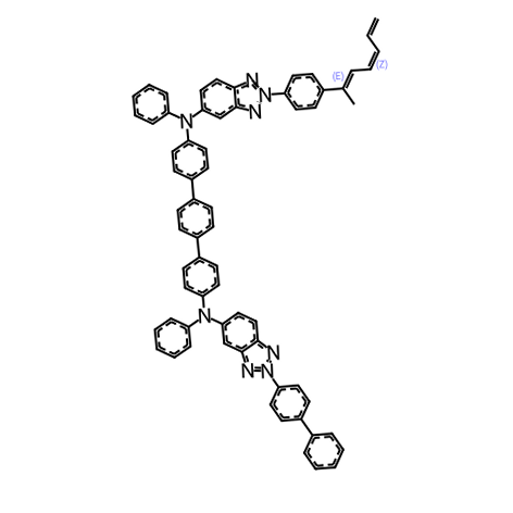 C=C/C=C\C=C(/C)c1ccc(-n2nc3ccc(N(c4ccccc4)c4ccc(-c5ccc(-c6ccc(N(c7ccccc7)c7ccc8nn(-c9ccc(-c%10ccccc%10)cc9)nc8c7)cc6)cc5)cc4)cc3n2)cc1